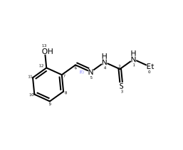 CCNC(=S)N/N=C/c1ccccc1O